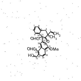 C=CC1(C)Cc2ccccc2C(C=O)(c2cc(OC)c3ccc(CO)c(C=O)c3c2)C1=O